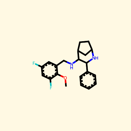 COc1c(F)cc(F)cc1CNC1C2CCC(C2)NC1c1ccccc1